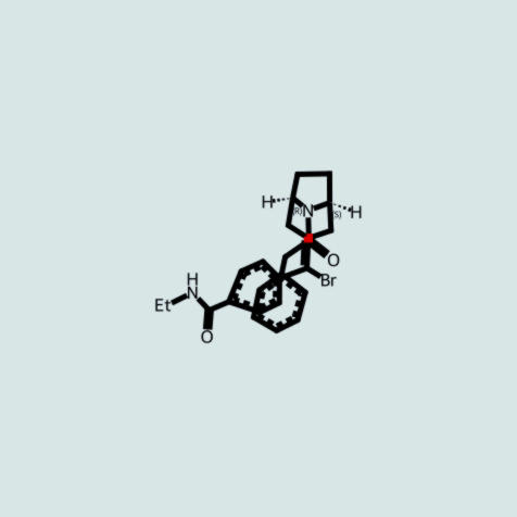 CCNC(=O)c1ccc(C(Br)=C2C[C@H]3CC[C@@H](C2)N3C(=O)Cc2ccccc2)cc1